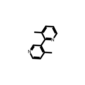 Cc1ccn[c]c1-c1ncccc1C